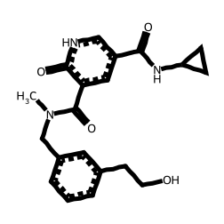 CN(Cc1cccc(CCO)c1)C(=O)c1cc(C(=O)NC2CC2)c[nH]c1=O